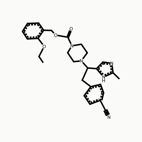 CCOc1ccccc1COC(=O)N1CCN(C(Cc2ccc(C#N)cc2)c2cnc(C)[nH]2)CC1